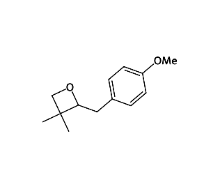 COc1ccc(CC2OCC2(C)C)cc1